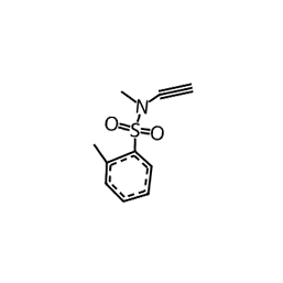 C#CN(C)S(=O)(=O)c1ccccc1C